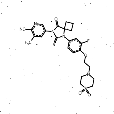 N#Cc1ncc(N2C(=O)C3(CCC3)N(c3ccc(OCCN4CCS(=O)(=O)CC4)c(F)c3)C2=S)cc1C(F)(F)F